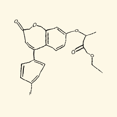 CCOC(=O)C(C)Oc1ccc2c(-c3ccc(F)cc3)cc(=O)oc2c1